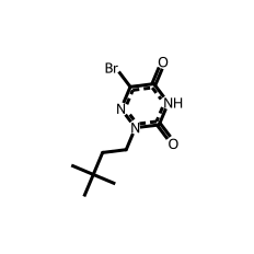 CC(C)(C)CCn1nc(Br)c(=O)[nH]c1=O